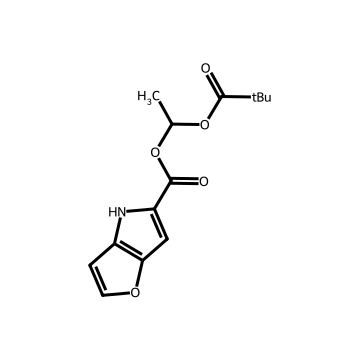 CC(OC(=O)c1cc2occc2[nH]1)OC(=O)C(C)(C)C